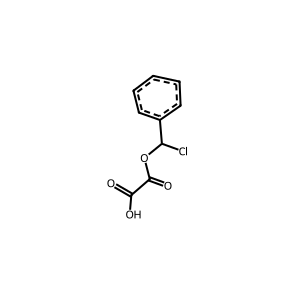 O=C(O)C(=O)OC(Cl)c1ccccc1